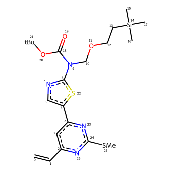 C=Cc1cc(-c2cnc(N(COCC[Si](C)(C)C)C(=O)OC(C)(C)C)s2)nc(SC)n1